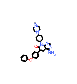 CN1CCN(C2CCC(n3c(=O)c(-c4ccc(Oc5ccccc5)cc4)cc4c(N)ncnc43)CC2)CC1